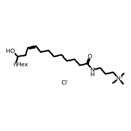 CCCCCCC(O)C/C=C\CCCCCCCC(=O)NCCC[N+](C)(C)C.[Cl-]